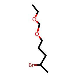 CCOCOCCCC(C)Br